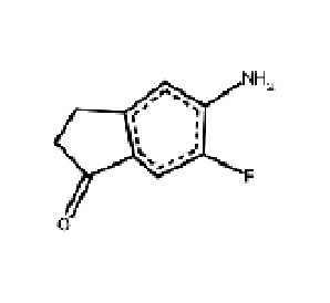 Nc1cc2c(cc1F)C(=O)CC2